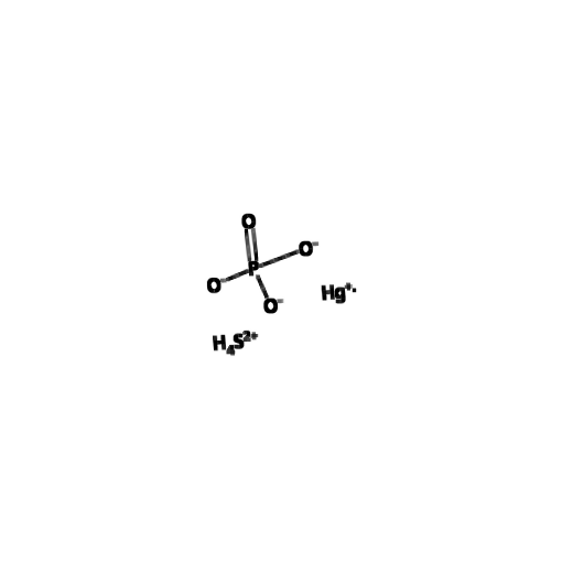 O=P([O-])([O-])[O-].[Hg+].[SH4+2]